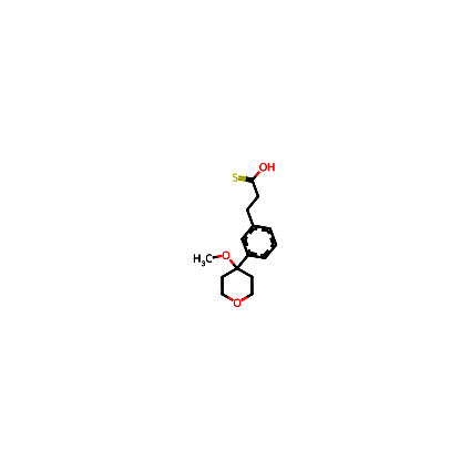 COC1(c2cccc(CCC(O)=S)c2)CCOCC1